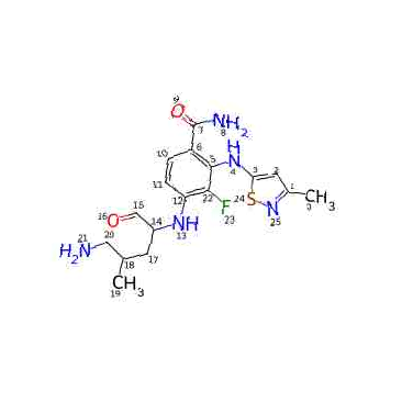 Cc1cc(Nc2c(C(N)=O)ccc(NC(C=O)CC(C)CN)c2F)sn1